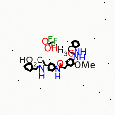 COc1cc(CC(=O)Nc2ccc(C(CC(=O)O)NCCc3ccccc3)cc2)ccc1NC(=O)Nc1ccccc1C.O=C(O)C(F)(F)F